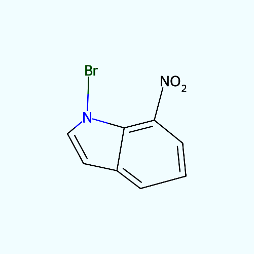 O=[N+]([O-])c1cccc2ccn(Br)c12